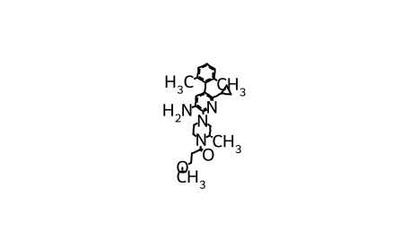 COCCC(=O)N1CCN(c2nc(C3CC3)c(-c3c(C)cccc3C)cc2N)C[C@H]1C